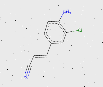 N#CC=Cc1ccc(N)c(Cl)c1